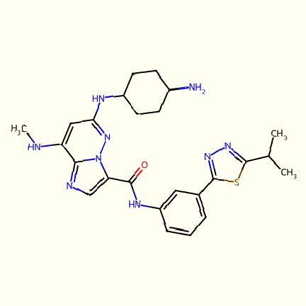 CNc1cc(NC2CCC(N)CC2)nn2c(C(=O)Nc3cccc(-c4nnc(C(C)C)s4)c3)cnc12